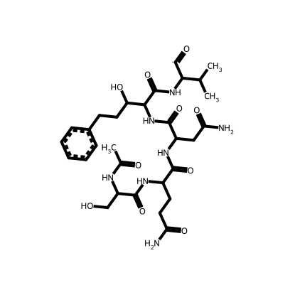 CC(=O)NC(CO)C(=O)NC(CCC(N)=O)C(=O)NC(CC(N)=O)C(=O)NC(C(=O)NC([C]=O)C(C)C)C(O)CCc1ccccc1